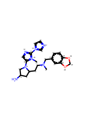 CN(CCC1CC(N)CN1c1cnc(-n2ccnc2)n1C)Cc1ccc2c(c1)OCO2